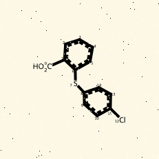 O=C(O)c1ccccc1Sc1ccc(Cl)cc1